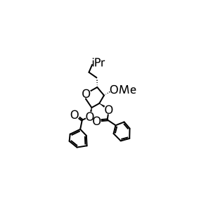 CO[C@@H]1[C@@H](OC(=O)c2ccccc2)[C@@H](OC(=O)c2ccccc2)CO[C@@H]1CCC(C)C